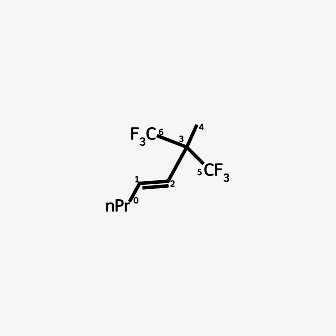 CCCC=CC(C)(C(F)(F)F)C(F)(F)F